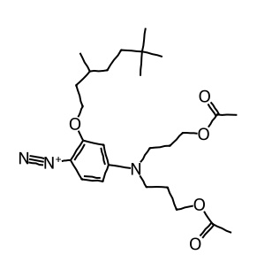 CC(=O)OCCCN(CCCOC(C)=O)c1ccc([N+]#N)c(OCCC(C)CCC(C)(C)C)c1